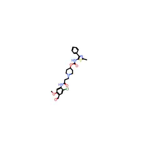 COc1cc(NC(=O)CCN2CCC(OC(=O)Nc3sc(C)nc3-c3ccccc3)CC2)c(Cl)cc1C=O